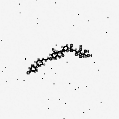 O=C(NC[C@H](O)[C@@H](O)[C@H](O)[C@H](O)CO)[C@H]1CCN(C(=O)Cc2c(F)cc(OCCCC3CCN(c4ncc(Cl)cn4)CC3)cc2F)C1